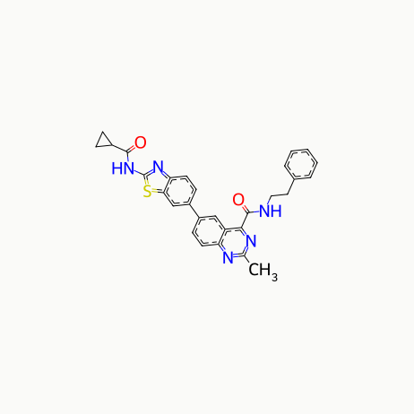 Cc1nc(C(=O)NCCc2ccccc2)c2cc(-c3ccc4nc(NC(=O)C5CC5)sc4c3)ccc2n1